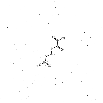 O=C(O)C(=O)CCC[N+](=O)[O-]